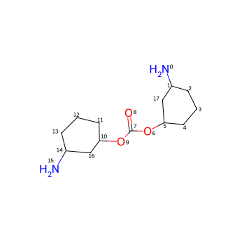 NC1CCCC(OC(=O)OC2CCCC(N)C2)C1